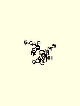 CNC(=O)c1nn(COCC[Si](C)(C)C)c2cc(-c3cc(F)c(OCOCC[Si](C)(C)C)cc3CC(F)(F)F)nc(NCc3cc(OC)ccc3N(C)S(C)(=O)=O)c12